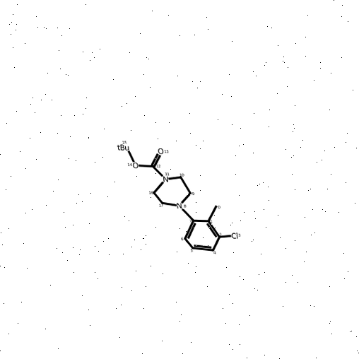 Cc1c(Cl)cccc1N1CCN(C(=O)OC(C)(C)C)CC1